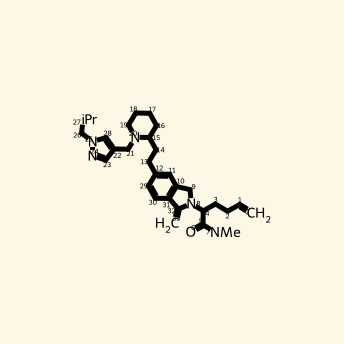 C=CCCC(C(=O)NC)N1Cc2cc(CCC3CCCCN3Cc3cnn(CC(C)C)c3)ccc2C1=C